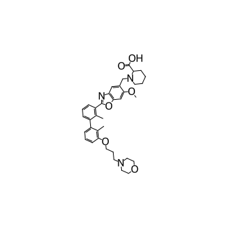 COc1cc2oc(-c3cccc(-c4cccc(OCCCN5CCOCC5)c4C)c3C)nc2cc1CN1CCCCC1C(=O)O